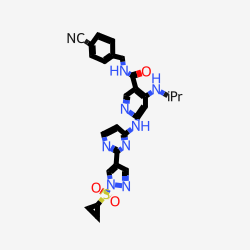 CC(C)Nc1cc(Nc2ccnc(-c3cnn(S(=O)(=O)C4CC4)c3)n2)ncc1C(=O)NCc1ccc(C#N)cc1